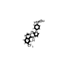 CC(C)(C)N[C@H]1CC[C@@H](N2CC[C@H](Nc3ncnc4ccc(C(F)(F)F)cc34)C2=O)CC1